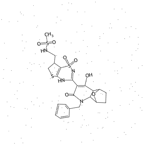 CS(=O)(=O)NCC1CSC2=C1S(=O)(=O)N=C(C1=C(O)C3C4CCC(O4)C3N(Cc3ccccc3)C1=O)N2